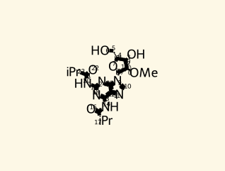 CO[C@@H]1[C@H](O)[C@@H](CO)O[C@H]1n1cnc2c(NC(=O)C(C)C)nc(NC(=O)C(C)C)nc21